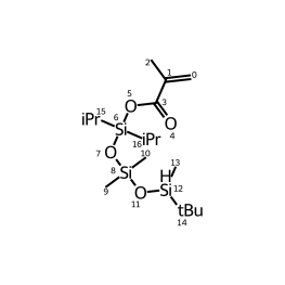 C=C(C)C(=O)O[Si](O[Si](C)(C)O[SiH](C)C(C)(C)C)(C(C)C)C(C)C